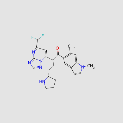 Cc1cc2c(ccn2C)cc1C(=O)C(CC[C@@H]1CCCN1)c1cc(C(F)F)nc2ncnn12